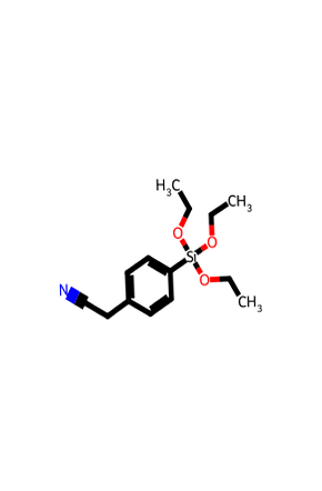 CCO[Si](OCC)(OCC)c1ccc(CC#N)cc1